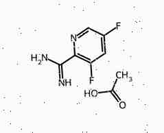 CC(=O)O.N=C(N)c1ncc(F)cc1F